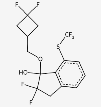 OC1(OCC2CC(F)(F)C2)c2c(cccc2SC(F)(F)F)CC1(F)F